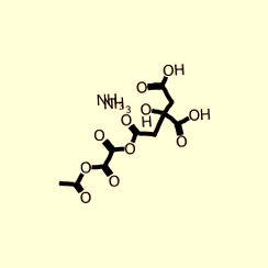 CC(=O)OC(=O)C(=O)OC(=O)CC(O)(CC(=O)O)C(=O)O.N.N